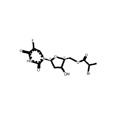 CC(Br)C(=O)OC[C@@H]1O[C@H](n2cc(F)c(=O)[nH]c2=O)CC1O